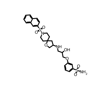 NS(=O)(=O)c1cccc(OCC(O)CNC2COC3(CCN(S(=O)(=O)c4ccc5ccccc5c4)CC3)C2)c1